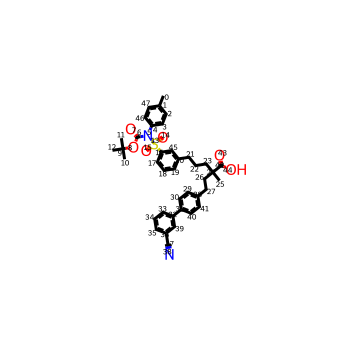 Cc1ccc(N(C(=O)OC(C)(C)C)S(=O)(=O)c2cccc(CCCC(C)(CCc3ccc(-c4cccc(C#N)c4)cc3)C(=O)O)c2)cc1